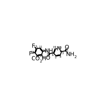 NC(=O)c1ccc(C(=O)Nc2cc(F)c(F)cc2C(=O)O)cn1